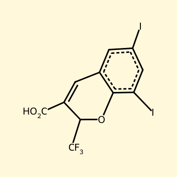 O=C(O)C1=Cc2cc(I)cc(I)c2OC1C(F)(F)F